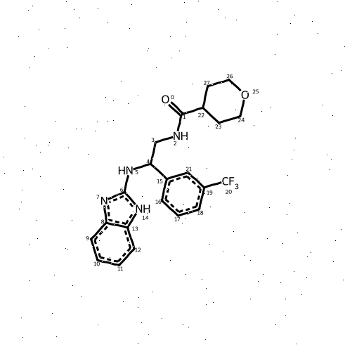 O=C(NCC(Nc1nc2ccccc2[nH]1)c1cccc(C(F)(F)F)c1)C1CCOCC1